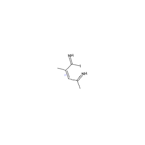 CC(=N)/C=C(/C)C(=N)I